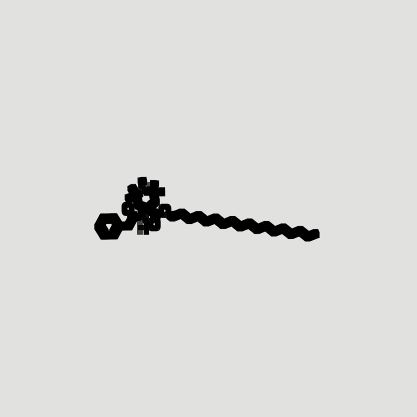 CCCCCCCCCCCCCCCCCCOC(=O)C1(NC(=O)Cc2ccccc2)CC(C)(C)N(C)C(C)(C)C1